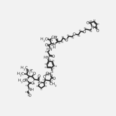 CCC(C)C(C(CC(=O)N1CCCC1C(OC)C(C)C(=O)NSc1ccc(NC(=O)CNC(=O)C(NC(=O)CCOCCOCCOCCN2C(=O)C=CC2=O)C(C)C)cc1)OC)N(C)C(=O)CNC=O